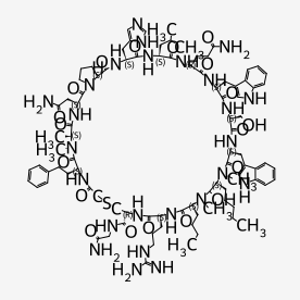 CCCCC[C@H]1C(O)N(C)[C@@H](CCCC)C(=O)N[C@@H](CCCNC(=N)N)C(=O)N[C@H](C(=O)NCC(N)=O)CSCC(=O)N[C@@H](CCc2ccccc2)C(=O)N(C)[C@@H](C)C(=O)N[C@@H](CC(N)=O)C(=O)N2CCC[C@H]2C(=O)N[C@@H](Cc2cnc[nH]2)C(=O)N[C@@H](CC(C)C)C(=O)N[C@@H](CCC(N)=O)C(=O)N[C@@H](Cc2c[nH]c3ccccc23)C(=O)N[C@@H](CO)C(=O)N[C@@H](Cc2c[nH]c3ccccc23)C(=O)N1C